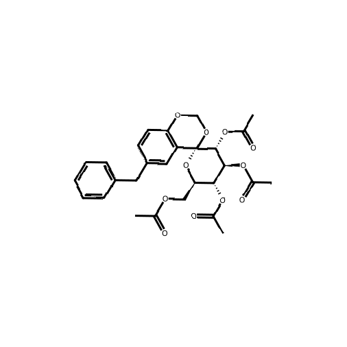 CC(=O)OC[C@H]1O[C@]2(OCOc3ccc(Cc4ccccc4)cc32)[C@H](OC(C)=O)[C@@H](OC(C)=O)[C@@H]1OC(C)=O